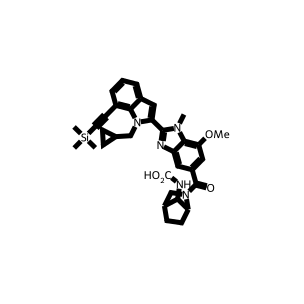 COc1cc(C(=O)N2CC3CCC2C3NC(=O)O)cc2nc(-c3cc4cccc(C#C[Si](C)(C)C)c4n3CC3CC3)n(C)c12